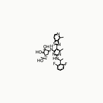 Cc1nc(NC(C)c2c(F)cccc2F)nc(N[C@@H]2C[C@H](C(C)(C)O)[C@@H](O)[C@H]2O)c1-c1nc2c(C)nccc2s1